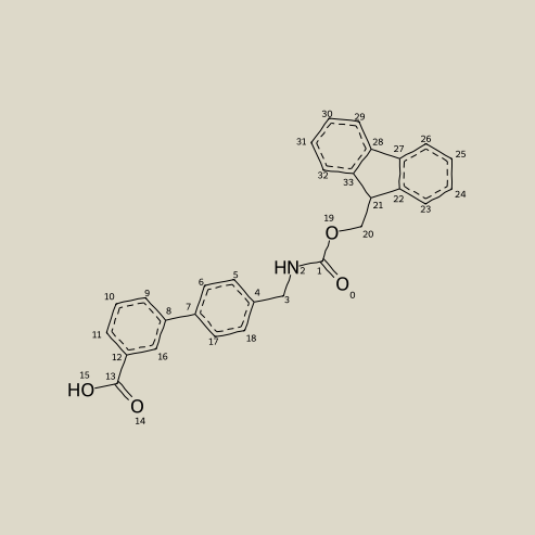 O=C(NCc1ccc(-c2cccc(C(=O)O)c2)cc1)OCC1c2ccccc2-c2ccccc21